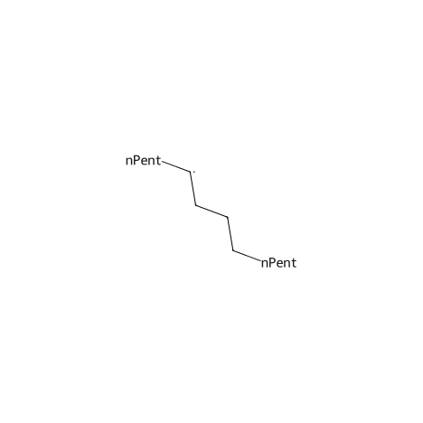 [CH2]CCCC[CH]CCCCCCCC